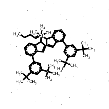 CCC[CH]=[Hf]([CH3])([CH3])([CH3])([CH]1C=Cc2c(-c3cc(C(C)(C)C)cc(C(C)(C)C)c3)cccc21)[CH]1C=Cc2c(-c3cc(C(C)(C)C)cc(C(C)(C)C)c3)cccc21